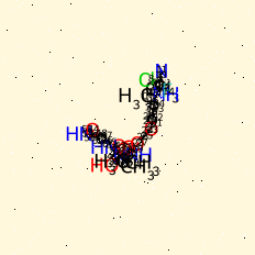 CC(C)C(Nc1cc(Cl)c(C#N)cc1F)c1ccc(-c2ccc(OCCCCOCC(=O)N[C@H](C(=O)N3C[C@H](O)C[C@H]3C(=O)NCc3ccc(C4=CNCO4)cc3)C(C)(C)C)cc2)cc1